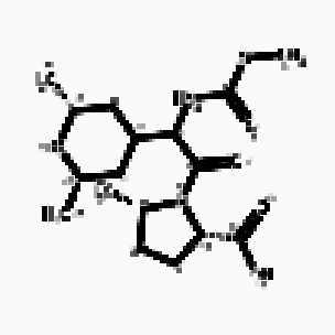 COC(=O)NC(C(=O)N1[C@@H](C)CC[C@H]1C(=O)O)C1C[C@@H](C)O[C@H](C)C1